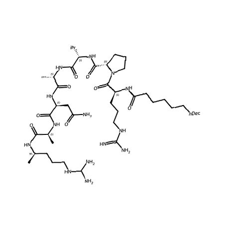 CCCCCCCCCCCCCCCC(=O)N[C@@H](CCCNC(=N)N)C(=O)N1CCC[C@H]1C(=O)N[C@H](C(=O)N[C@@H](C)C(=O)N[C@@H](CC(N)=O)C(=O)N[C@@H](C)C(=O)N[C@H](C)CCCNC(N)N)C(C)C